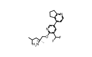 CC(C)C[C@](C)(N)COc1ncc(-c2ccnc3c2CCC3)cc1C(F)F